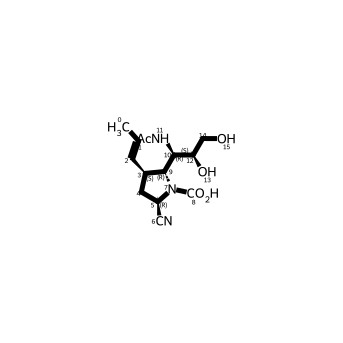 CC=C[C@@H]1C[C@H](C#N)N(C(=O)O)[C@H]1[C@@H](NC(C)=O)[C@H](O)CO